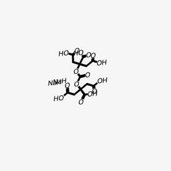 O=C(O)CC(CC(=O)O)(OC(=O)OC(CC(=O)O)(CC(=O)O)C(=O)O)C(=O)O.[NaH].[NaH]